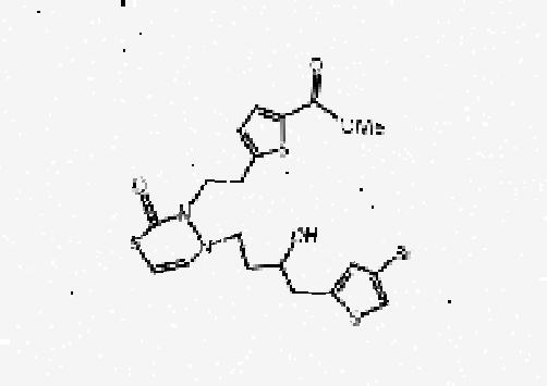 COC(=O)c1ccc(CCN2C(=O)SC=CN2CCC(O)Cc2cc(Br)cs2)s1